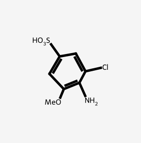 COc1cc(S(=O)(=O)O)cc(Cl)c1N